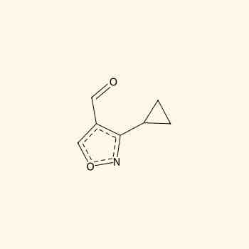 O=Cc1conc1C1CC1